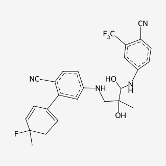 CC1(F)C=CC(c2cc(NCC(C)(O)C(O)Nc3ccc(C#N)c(C(F)(F)F)c3)ccc2C#N)=CC1